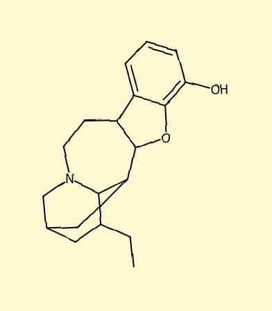 CCC1CC2CC3C4Oc5c(O)cccc5C4CCN(C2)C13